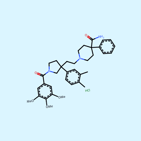 COc1cc(C(=O)N2CCC(CCN3CCC(C(N)=O)(c4ccccc4)CC3)(c3ccc(C)c(C)c3)C2)cc(OC)c1OC.Cl